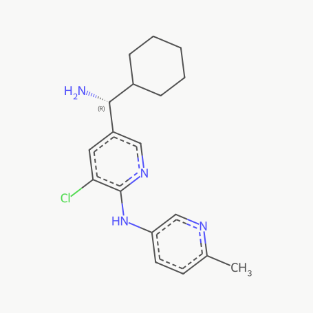 Cc1ccc(Nc2ncc([C@H](N)C3CCCCC3)cc2Cl)cn1